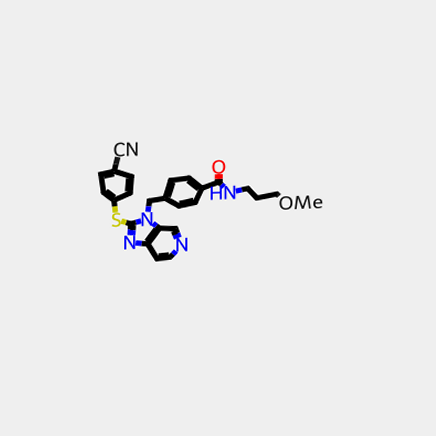 COCCCNC(=O)c1ccc(Cn2c(Sc3ccc(C#N)cc3)nc3ccncc32)cc1